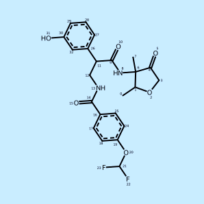 CC1OCC(=O)C1(C)NC(=O)C(CNC(=O)c1ccc(OC(F)F)cc1)c1cccc(O)c1